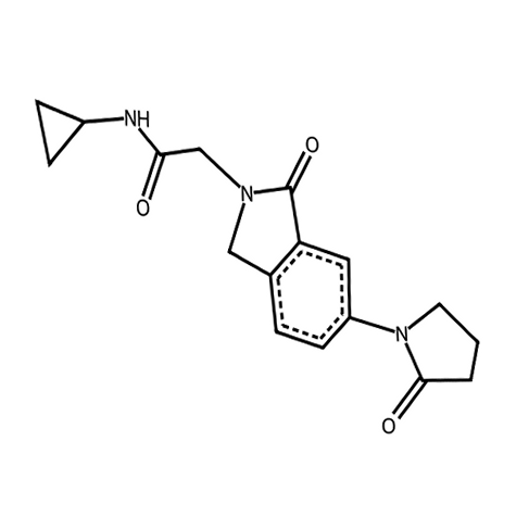 O=C(CN1Cc2ccc(N3CCCC3=O)cc2C1=O)NC1CC1